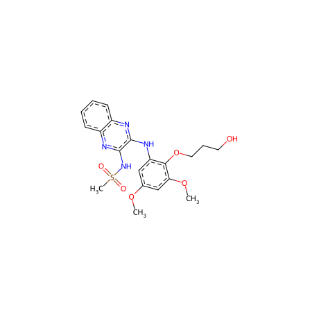 COc1cc(Nc2nc3ccccc3nc2NS(C)(=O)=O)c(OCCCO)c(OC)c1